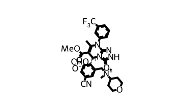 COC(=O)C1=C(C)N(c2cccc(C(F)(F)F)c2)c2n[nH]c(=O)n2[C@@H]1c1ccc(C#N)cc1C[N+](C)(C)C1CCOCC1.O=C[O-]